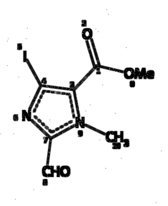 COC(=O)c1c(I)nc(C=O)n1C